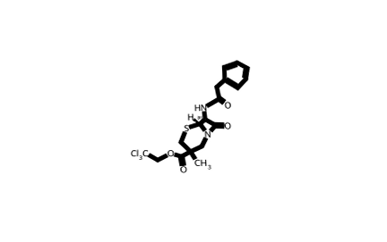 CC1(C(=O)OCC(Cl)(Cl)Cl)CS[C@@H]2C(NC(=O)Cc3ccccc3)C(=O)N2C1